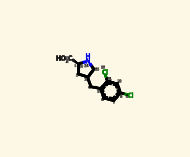 O=C(O)[C@@H]1CC(Cc2ccc(Cl)cc2Cl)CN1